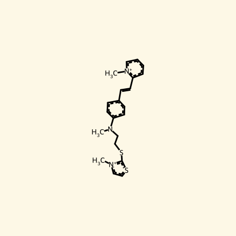 CN(CCSc1scc[n+]1C)c1ccc(/C=C/c2cccc[n+]2C)cc1